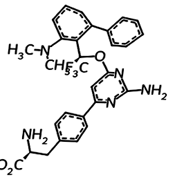 CN(C)c1cccc(-c2ccccc2)c1[C@@H](Oc1cc(-c2ccc(C[C@H](N)C(=O)O)cc2)nc(N)n1)C(F)(F)F